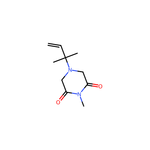 C=CC(C)(C)N1CC(=O)N(C)C(=O)C1